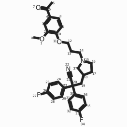 COc1cc(C(C)=O)ccc1OCCCN1CCC(CC(C#N)(c2ccc(F)cc2)c2ccc(F)cc2)C1